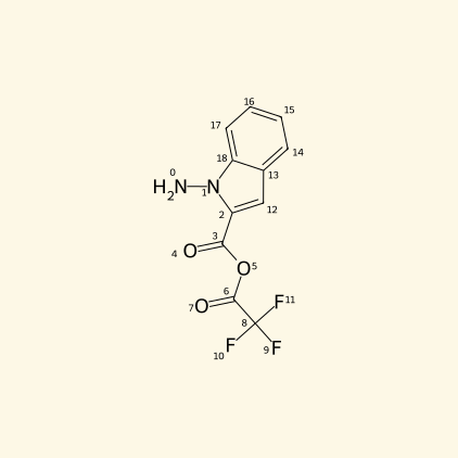 Nn1c(C(=O)OC(=O)C(F)(F)F)cc2ccccc21